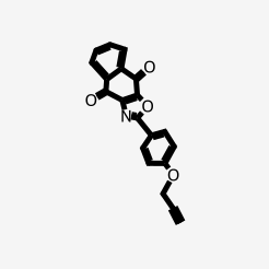 C#CCOc1ccc(-c2nc3c(o2)C(=O)c2ccccc2C3=O)cc1